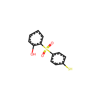 O=S(=O)(c1ccc(S)cc1)c1ccccc1O